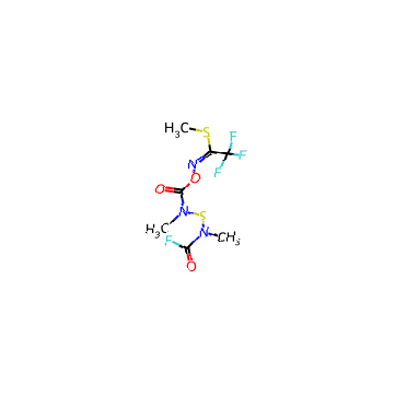 CSC(=NOC(=O)N(C)SN(C)C(=O)F)C(F)(F)F